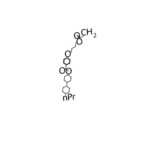 C=CC(=O)OCCCCOc1ccc(C(=O)OC2CCC(C3CCC(CCC)CC3)CC2)cc1